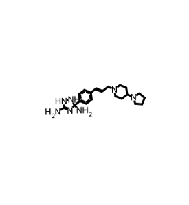 NC1=NC(N)(c2ccc(C=CCN3CCC(N4CCCC4)CC3)cc2)NN1